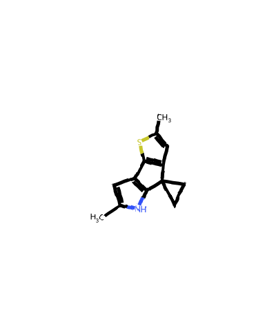 Cc1cc2c([nH]1)C1(CC1)c1cc(C)sc1-2